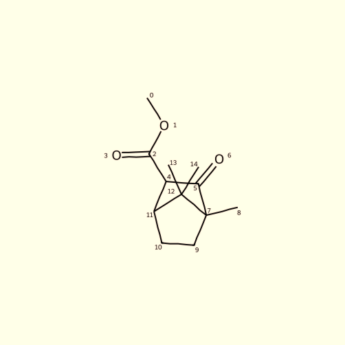 COC(=O)C1C(=O)C2(C)CCC1C2(C)C